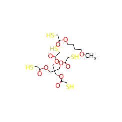 COCCCCOC(=O)CS.O=C(CS)OCC(COC(=O)CS)(COC(=O)CS)COC(=O)CS